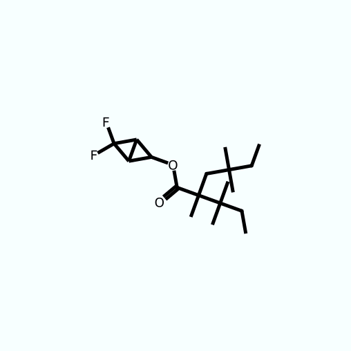 CCC(C)(C)CC(C)(C(=O)OC1C2C1C2(F)F)C(C)(C)CC